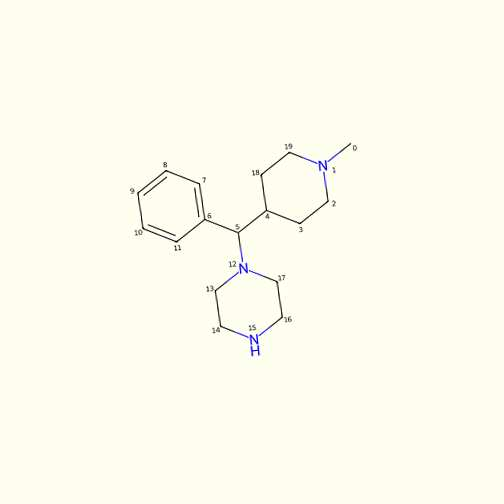 CN1CCC(C(c2ccccc2)N2CCNCC2)CC1